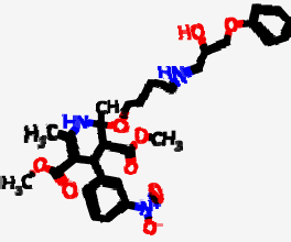 COC(=O)C1=C(C)NC(C)(OCCCCNCC(O)COc2ccccc2)C(C(=O)OC)C1c1cccc([N+](=O)[O-])c1